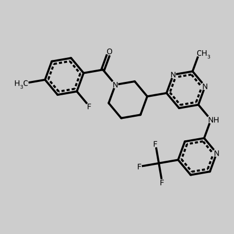 Cc1ccc(C(=O)N2CCCC(c3cc(Nc4cc(C(F)(F)F)ccn4)nc(C)n3)C2)c(F)c1